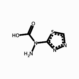 NN(C(=O)O)c1nncs1